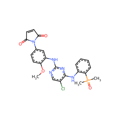 COc1ccc(N2C(=O)C=CC2=O)cc1Nc1ncc(Cl)c(Nc2ccccc2P(C)(C)=O)n1